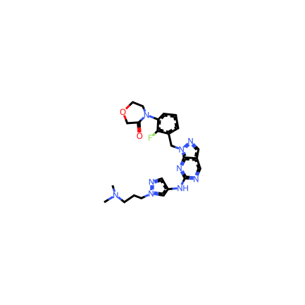 CN(C)CCCn1cc(Nc2ncc3cnn(Cc4cccc(N5CCOCC5=O)c4F)c3n2)cn1